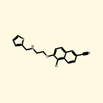 N#Cc1ccc2c(Cl)c(OCCNCc3cccs3)ccc2c1